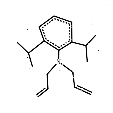 C=CCN(CC=C)c1c(C(C)C)cccc1C(C)C